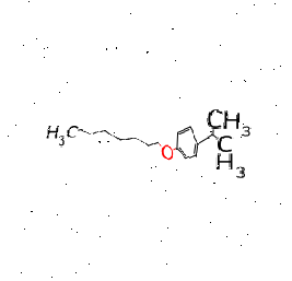 CCCCCCCCOc1ccc(C(C)C)cc1